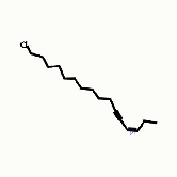 CC/C=C\C#CCCCCCCCCCCCl